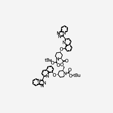 CC(C)(C)OC(=O)N1CC[C@H](Oc2cccc3ccc(-c4nnc5ccccn45)nc23)C[C@H]1COC(=O)[C@@H]1C[C@@H](Oc2cccc3ccc(-c4nnc5ccccn45)nc23)CCN1C(=O)OC(C)(C)C